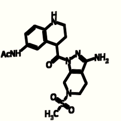 CC(=O)Nc1ccc2c(c1)C(C(=O)n1nc(N)c3c1CN(S(C)(=O)=O)CC3)CCN2